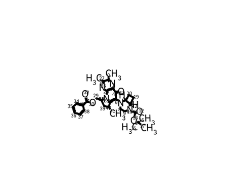 Cc1nc2c(=O)c(N3CCN(C(=O)OC(C)(C)C)[C@H]4CC[C@@H]43)c3n(c2nc1C)C(COC(=O)c1ccccc1)CC3C